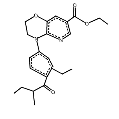 CCOC(=O)c1cnc2c(c1)OCCN2c1ccc(C(=O)C(C)CC)c(CC)c1